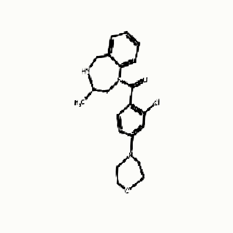 C[C@@H]1CN(C(=O)c2ccc(N3CCOCC3)cc2Cl)c2ccccc2CN1